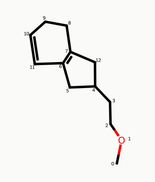 COCCC1CC2=C(CCC=C2)C1